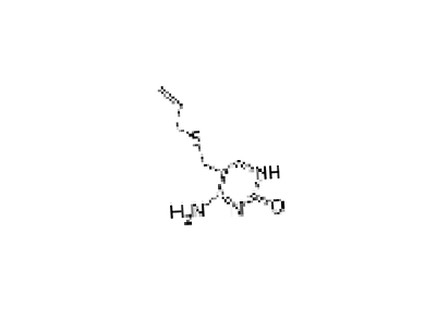 C=CCSCc1c[nH]c(=O)nc1N